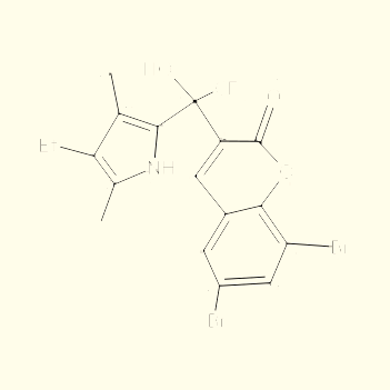 CCc1c(C)[nH]c(C(O)(c2cc3cc(Br)cc(Br)c3oc2=O)C(F)(F)F)c1C